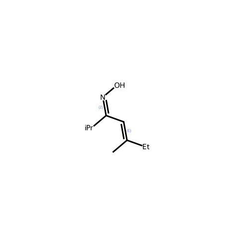 CC/C(C)=C/C(=N\O)C(C)C